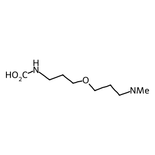 CNCCCOCCCNC(=O)O